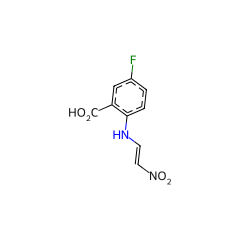 O=C(O)c1cc(F)ccc1NC=C[N+](=O)[O-]